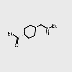 CCNC[C@H]1CC[C@H](C(=O)CC)CC1